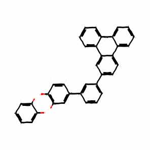 c1cc(-c2ccc3c(c2)Oc2ccccc2O3)cc(-c2ccc3c4ccccc4c4ccccc4c3c2)c1